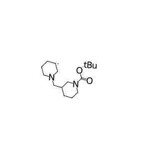 CC(C)(C)OC(=O)N1CCCC(CN2C[CH]CCC2)C1